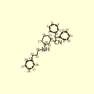 N#CC(c1ccccc1)(c1ccccc1)[C@H]1CCC[C@H](NCCCc2ccccc2)C1